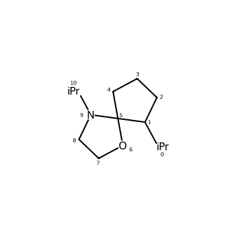 CC(C)C1CCCC12OCCN2C(C)C